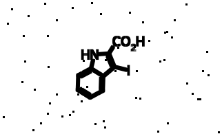 O=C(O)c1[nH]c2ccccc2c1I